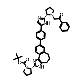 CC(C)(C)OC(=O)N1CCC[C@H]1c1nc2c([nH]1)CCCc1cc(-c3ccc(-c4cnc([C@@H]5CCCN5CC(=O)c5ccccc5)[nH]4)cc3)ccc1-2